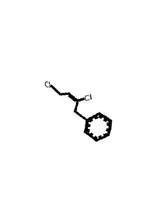 ClC/C=C(/Cl)Cc1ccccc1